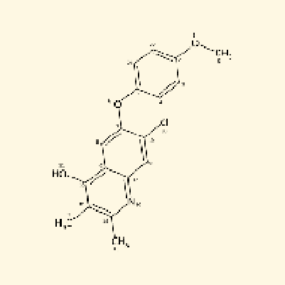 COc1ccc(Oc2cc3c(O)c(C)c(C)nc3cc2Cl)cc1